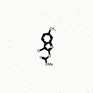 COC(=O)Oc1sc2cc(C)ccc2c1Cl